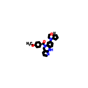 CO[C@H]1CC[C@H](C(=O)N2Cc3cccnc3Nc3ccc(N4CCO[C@@H]5CCCC54)cc32)CC1